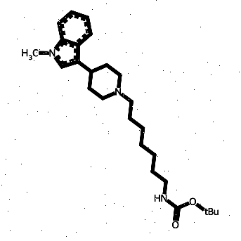 Cn1cc(C2CCN(CCCCCCCNC(=O)OC(C)(C)C)CC2)c2ccccc21